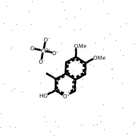 COc1cc2c[o+]c(O)c(C)c2cc1OC.[O-][Cl+3]([O-])([O-])[O-]